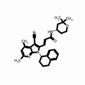 Cc1cc(C)c2c(C#N)c(/C=C/C(=O)N[C@H]3CCOC(C)(C)C3)n([C@H]3CCCc4ccccc43)c2n1